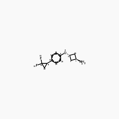 N[C@H]1C[C@H](Oc2ccc(C3CC3(F)F)cc2)C1